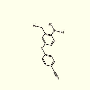 N#Cc1ccc(Oc2ccc(B(O)O)c(CBr)c2)cc1